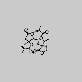 C=C(C)C(=O)OC(C)C1(CCC2OC(=O)CC2(C)OC(O)C(=C)C)CCOC1=O